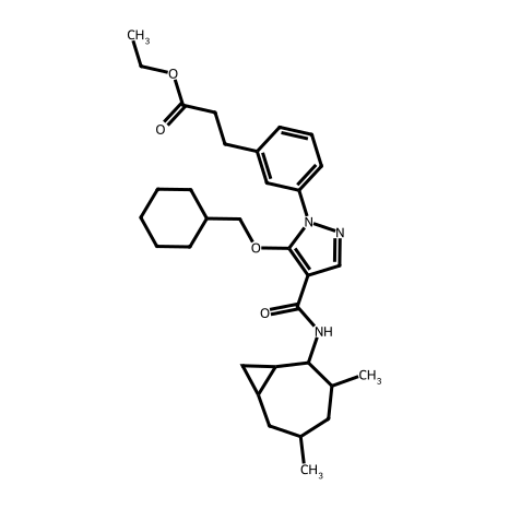 CCOC(=O)CCc1cccc(-n2ncc(C(=O)NC3C(C)CC(C)CC4CC43)c2OCC2CCCCC2)c1